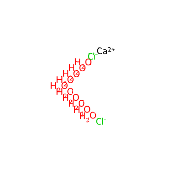 O.O.O.O.O.O.O.O.O.O.[Ca+2].[Cl-].[Cl-]